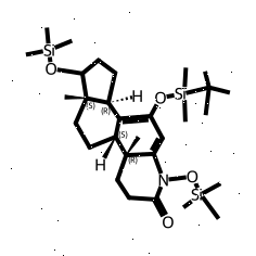 CC(C)(C)[Si](C)(C)OC1=C2[C@@H](CC[C@]3(C)C(O[Si](C)(C)C)CC[C@@H]23)[C@@]2(C)CCC(=O)N(O[Si](C)(C)C)C2=C1